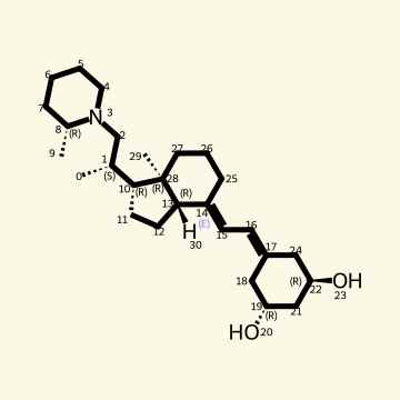 C[C@H](CN1CCCC[C@H]1C)[C@H]1CC[C@H]2/C(=C/C=C3C[C@@H](O)C[C@H](O)C3)CCC[C@]12C